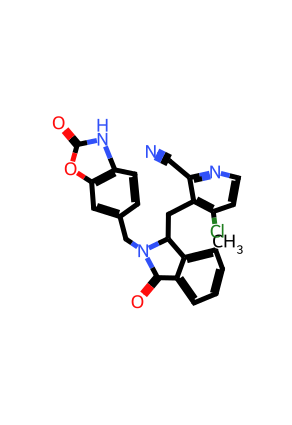 Cc1cccc2c1C(Cc1c(Cl)ccnc1C#N)N(Cc1ccc3[nH]c(=O)oc3c1)C2=O